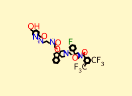 CN(CCCN(C)C(=O)c1ccc(CO)cn1)C(=O)CO[C@H]1Cc2ccccc2C12CCN(CC[C@]1(c3ccc(F)cc3)CN(C(=O)c3cc(C(F)(F)F)cc(C(F)(F)F)c3)CO1)CC2